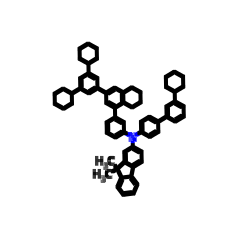 CC1(C)c2ccccc2-c2ccc(N(c3ccc(-c4cccc(C5CCCCC5)c4)cc3)c3cccc(-c4cc(-c5cc(C6CCCCC6)cc(C6CCCCC6)c5)cc5c4CCCC5)c3)cc21